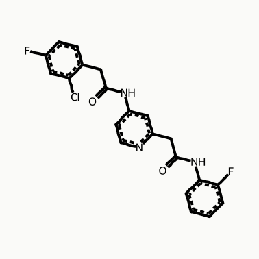 O=C(Cc1ccc(F)cc1Cl)Nc1ccnc(CC(=O)Nc2ccccc2F)c1